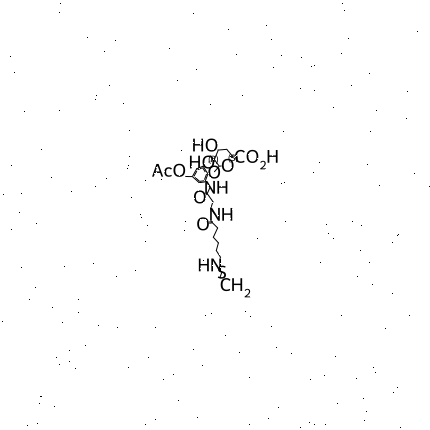 C=CSNCCCCCC(=O)NCCC(=O)Nc1cc(COC(C)=O)ccc1OC1O[C@H](C(=O)O)CC(O)[C@H]1O